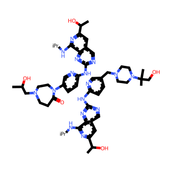 CC(C)Nc1nc(C(C)O)cc2cnc(Nc3ccc(CN4CCN(C(C)(C)CO)CC4)cn3)nc12.CC(O)CN1CCC(=O)N(c2ccc(Nc3ncc4cc(C(C)O)nc(NC(C)C)c4n3)nc2)CC1